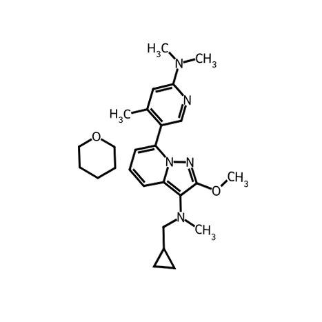 C1CCOCC1.COc1nn2c(-c3cnc(N(C)C)cc3C)cccc2c1N(C)CC1CC1